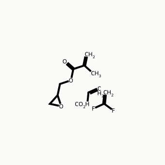 C=C(C)C(=O)OCC1CO1.C=C(F)F.C=CC(=O)O